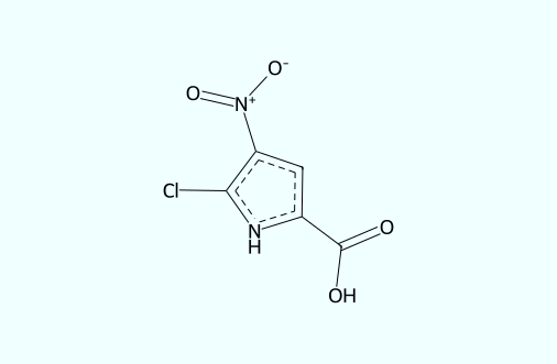 O=C(O)c1cc([N+](=O)[O-])c(Cl)[nH]1